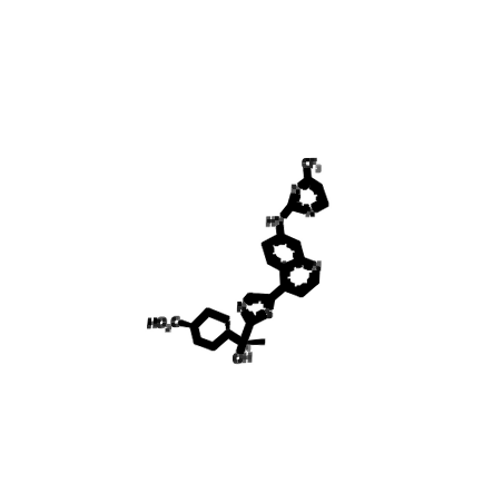 C[C@](O)(c1ncc(-c2ccnc3cc(Nc4nccc(C(F)(F)F)n4)ccc23)s1)[C@H]1CC[C@H](C(=O)O)CC1